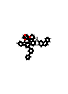 c1ccc(-c2cccc(-c3cc4c5c(c3)C(c3ccccc3)(c3cccc(Nc6ccc7ccc8ccccc8c7c6)c3)c3ccccc3C5(c3ccccc3)c3ccccc3-4)c2)cc1